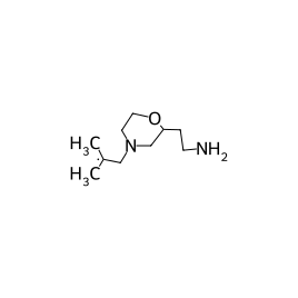 C[C](C)CN1CCOC(CCN)C1